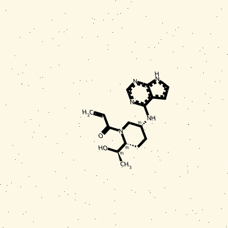 C=CC(=O)N1C[C@H](Nc2ncnc3[nH]ccc23)CC[C@@H]1[C@@H](C)O